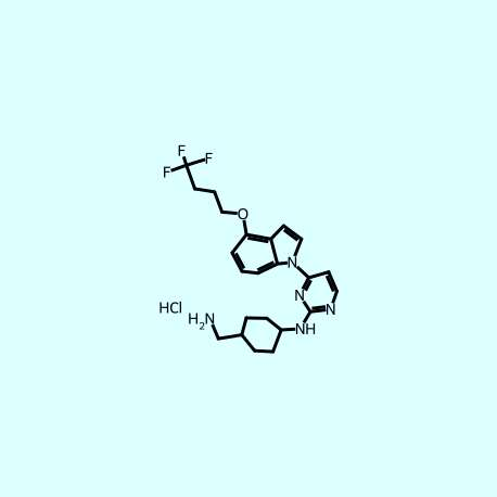 Cl.NCC1CCC(Nc2nccc(-n3ccc4c(OCCCC(F)(F)F)cccc43)n2)CC1